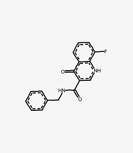 O=C(NCc1ccccc1)c1c[nH]c2c(F)cccc2c1=O